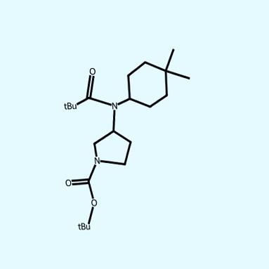 CC1(C)CCC(N(C(=O)C(C)(C)C)C2CCN(C(=O)OC(C)(C)C)C2)CC1